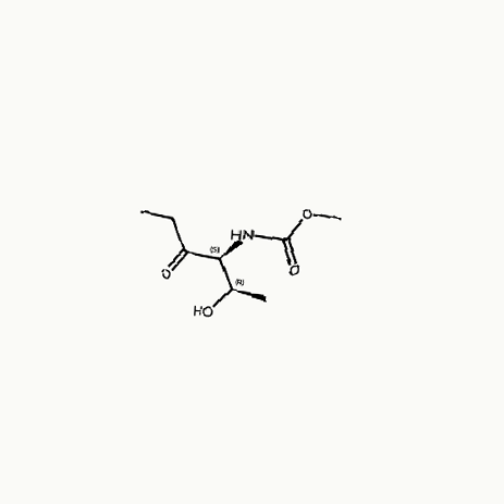 CCC(=O)[C@@H](NC(=O)OC)[C@@H](C)O